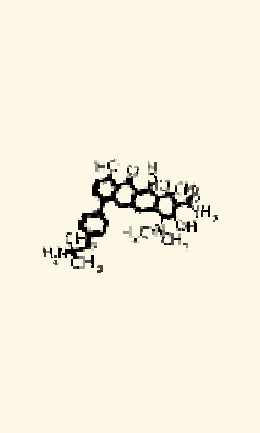 CN(C)[C@@H]1C(O)=C(C(N)=O)C(C)(O)C2C(O)=C3C(=O)c4c(O)ccc(-c5ccc(CC(C)(C)N)cc5)c4CC3CC21